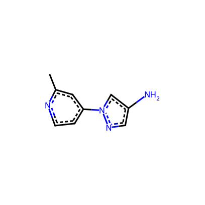 Cc1cc(-n2cc(N)cn2)ccn1